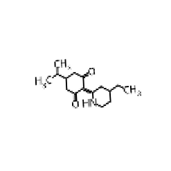 CCC1CCNC(=C2C(=O)CC(C(C)C)CC2=O)C1